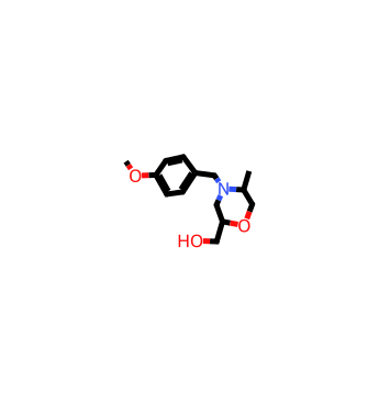 COc1ccc(CN2CC(CO)OCC2C)cc1